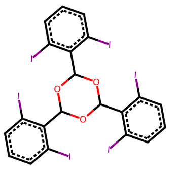 Ic1cccc(I)c1C1OC(c2c(I)cccc2I)OC(c2c(I)cccc2I)O1